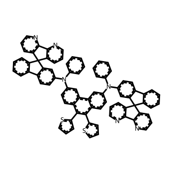 c1ccc(N(c2ccc3c(c2)C2(c4ccccc4-3)c3cccnc3-c3ncccc32)c2ccc3c(-c4cccs4)c(-c4cccs4)c4ccc(N(c5ccccc5)c5ccc6c(c5)C5(c7ccccc7-6)c6cccnc6-c6ncccc65)cc4c3c2)cc1